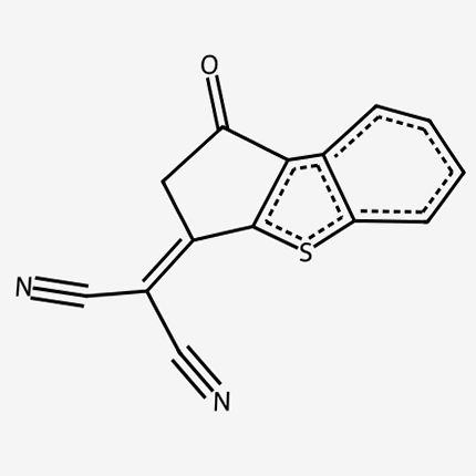 N#CC(C#N)=C1CC(=O)c2c1sc1ccccc21